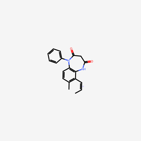 C/C=C\c1c(C)ccc2c1NC(=O)CC(=O)N2c1ccccc1